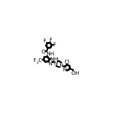 C[C@@H]1CN(c2ncc(CO)cc2Cl)CCN1c1nc2cc(C(F)(F)F)cc(NC(=O)c3cc(F)c(F)c(F)c3)c2[nH]1